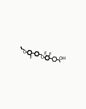 C=CCOc1ccc(-c2ccc(COc3ccc(C4CCC(C(C)O)CC4)c(F)c3F)cc2)c(F)c1